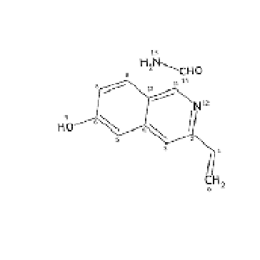 C=Cc1cc2cc(O)ccc2cn1.NC=O